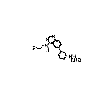 CC(C)CCNc1ncnc2ccc(-c3cccc(NC=O)c3)cc12